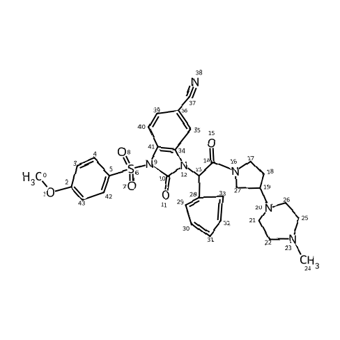 COc1ccc(S(=O)(=O)n2c(=O)n(C(C(=O)N3CCC(N4CCN(C)CC4)C3)c3ccccc3)c3cc(C#N)ccc32)cc1